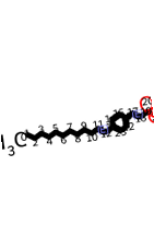 CCCCCCCCCCC/C=C/c1ccc(/C=C/C(=O)O)cc1